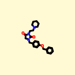 O=C1CN(Cc2ccc(OCc3ccccc3)cc2)C(=O)N1CCN1CCCCC1